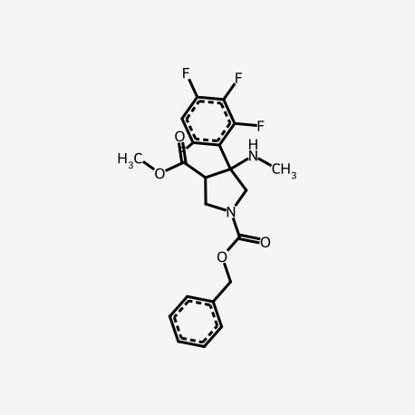 CNC1(c2c(F)cc(F)c(F)c2F)CN(C(=O)OCc2ccccc2)CC1C(=O)OC